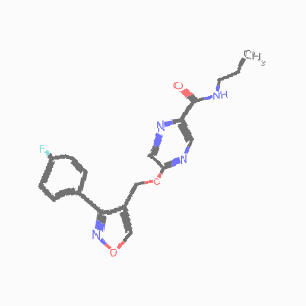 CCCNC(=O)c1cnc(OCc2conc2-c2ccc(F)cc2)cn1